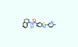 Cc1ccc(-c2nc3ccc(C(=O)NC4CCCc5ccccc54)cc3s2)cn1